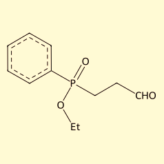 CCOP(=O)(CCC=O)c1ccccc1